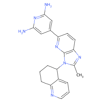 Cc1nc2ccc(-c3cc(N)nc(N)c3)nc2n1C1CCCc2ncccc21